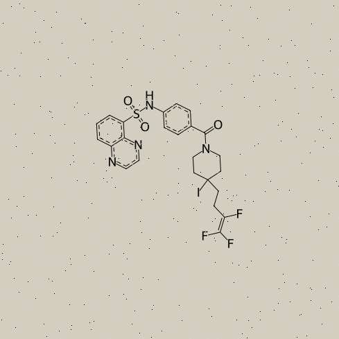 O=C(c1ccc(NS(=O)(=O)c2cccc3nccnc23)cc1)N1CCC(I)(CCC(F)=C(F)F)CC1